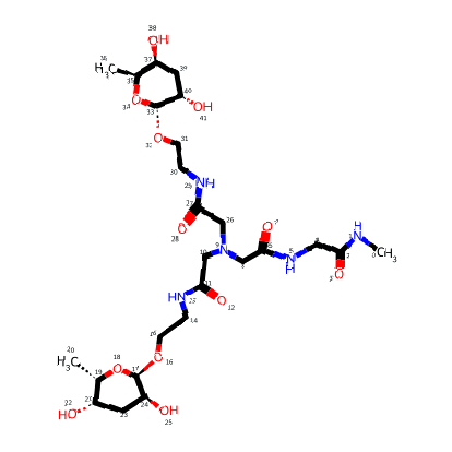 CNC(=O)CNC(=O)CN(CC(=O)NCCO[C@@H]1O[C@@H](C)[C@@H](O)C[C@@H]1O)CC(=O)NCCO[C@@H]1O[C@@H](C)[C@@H](O)C[C@@H]1O